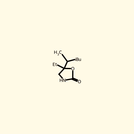 CCC(C)C(C)C1(CC)CNC(=O)O1